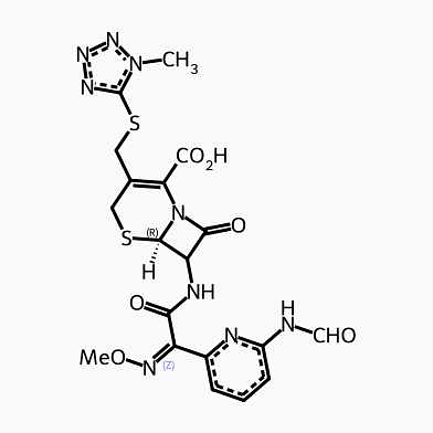 CO/N=C(\C(=O)NC1C(=O)N2C(C(=O)O)=C(CSc3nnnn3C)CS[C@H]12)c1cccc(NC=O)n1